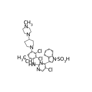 CC.CN1CCN(C2CCN(c3ccc(Nc4ncc(Cl)c(-c5cn(S(=O)(=O)O)c6ccccc56)n4)c(Cl)c3Cl)CC2)CC1